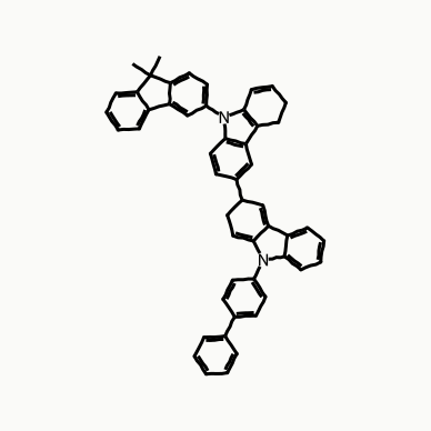 CC1(C)c2ccccc2-c2cc(-n3c4c(c5cc(C6C=c7c(n(-c8ccc(-c9ccccc9)cc8)c8ccccc78)=CC6)ccc53)CCC=C4)ccc21